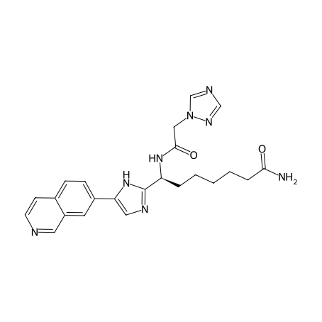 NC(=O)CCCCC[C@H](NC(=O)Cn1cncn1)c1ncc(-c2ccc3ccncc3c2)[nH]1